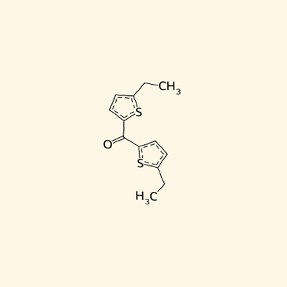 CCc1ccc(C(=O)c2ccc(CC)s2)s1